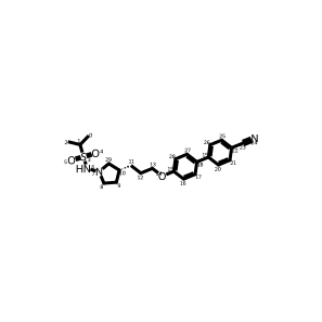 CC(C)S(=O)(=O)NN1CC[C@@H](CCCOc2ccc(-c3ccc(C#N)cc3)cc2)C1